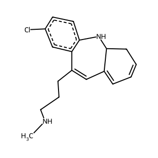 CNCCCC1=CC2=CC=CCC2Nc2ccc(Cl)cc21